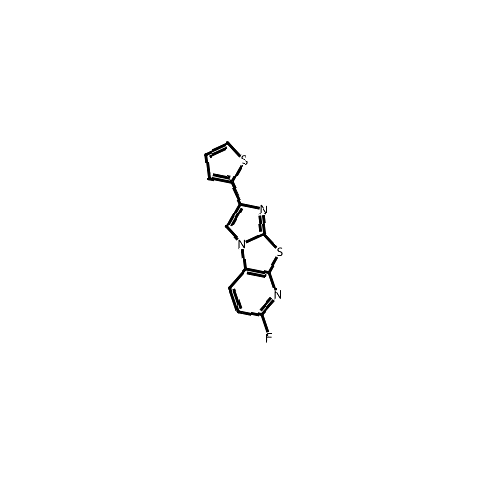 Fc1ccc2c(n1)sc1nc(-c3cccs3)cn12